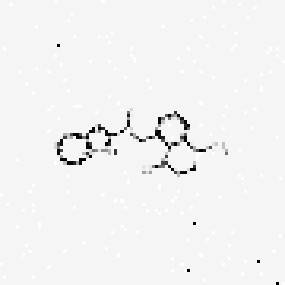 CCN1CCC(C)c2cccc(C[S+]([O-])c3nc4ccccc4[nH]3)c21